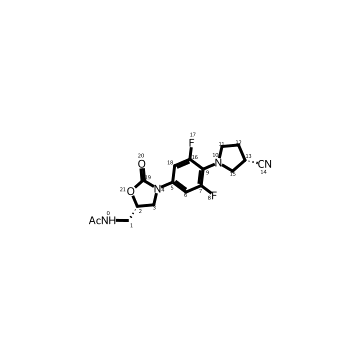 CC(=O)NC[C@H]1CN(c2cc(F)c(N3CC[C@H](C#N)C3)c(F)c2)C(=O)O1